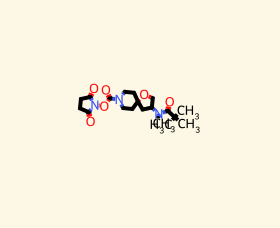 CN(C(=O)C(C)(C)C)C1COC2(CCN(C(=O)ON3C(=O)CCC3=O)CC2)C1